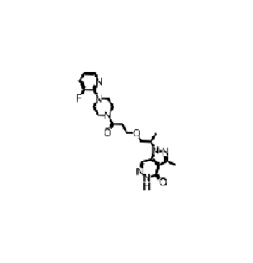 Cc1nn(C(C)COCCC(=O)N2CCN(c3ncccc3F)CC2)c2cn[nH]c(=O)c12